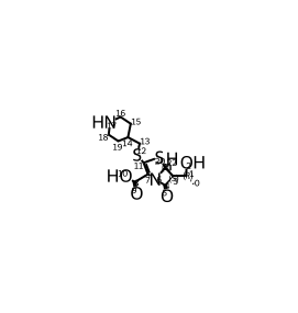 C[C@@H](O)[C@H]1C(=O)N2C(C(=O)O)=C(SCC3CCNCC3)S[C@H]12